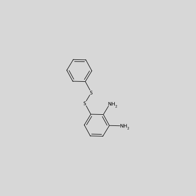 Nc1cccc(SSc2ccccc2)c1N